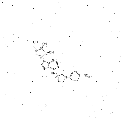 O=[N+]([O-])c1ccc(N2CC[C@H](Nc3ncnc4c3ncn4[C@@H]3C[C@H](CO)[C@@H](O)[C@H]3O)C2)cc1